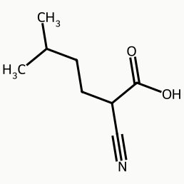 CC(C)CCC(C#N)C(=O)O